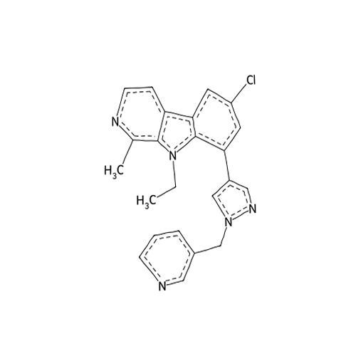 CCn1c2c(-c3cnn(Cc4cccnc4)c3)cc(Cl)cc2c2ccnc(C)c21